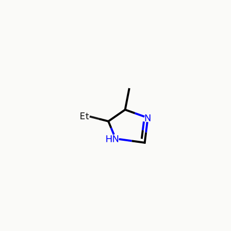 CCC1NC=NC1C